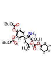 CC(C)COC(=O)Oc1ccc(C(CC(C)OC(=O)OC2CCCCC2)[C@H](N)C(=O)O)cc1OC(=O)OCC(C)C